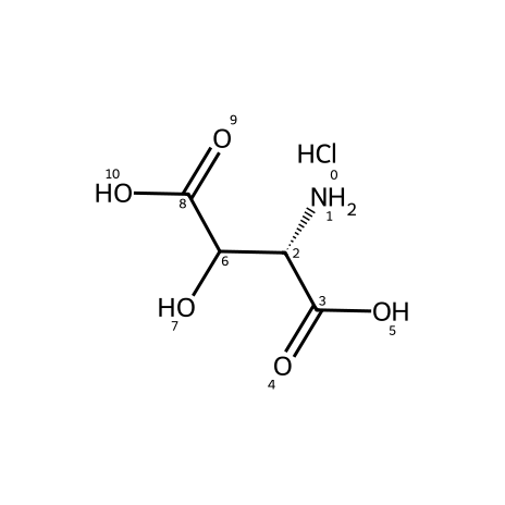 Cl.N[C@H](C(=O)O)C(O)C(=O)O